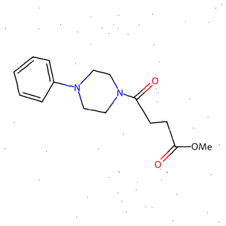 COC(=O)CCC(=O)N1CCN(c2ccccc2)CC1